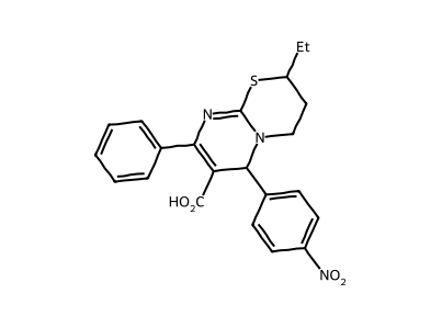 CCC1CCN2C(=NC(c3ccccc3)=C(C(=O)O)C2c2ccc([N+](=O)[O-])cc2)S1